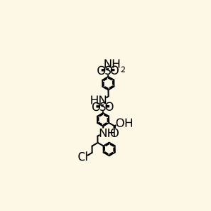 NS(=O)(=O)c1ccc(CNS(=O)(=O)c2ccc(NCC(CCCl)c3ccccc3)c(C(=O)O)c2)cc1